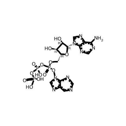 Nc1ncnc2c1ncn2[C@@H]1O[C@H](COP(=O)(On2cnc3cncnc32)OP(=O)(O)OP(=O)(O)O)[C@@H](O)[C@H]1O